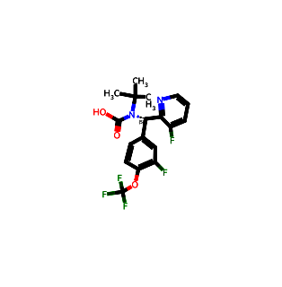 CC(C)(C)N(C(=O)O)[C@@H](c1ccc(OC(F)(F)F)c(F)c1)c1ncccc1F